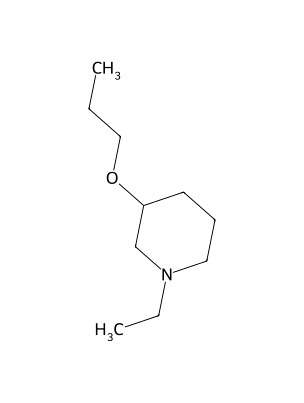 CCCOC1CCCN(CC)C1